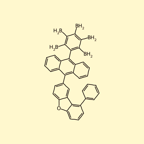 Bc1c(B)c(B)c(-c2c3ccccc3c(-c3ccc4oc5cccc(-c6ccccc6)c5c4c3)c3ccccc23)c(B)c1B